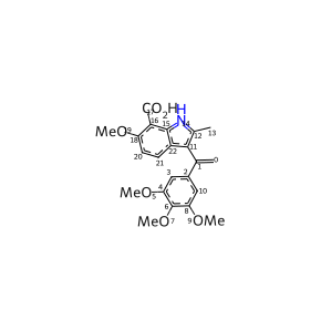 C=C(c1cc(OC)c(OC)c(OC)c1)c1c(C)[nH]c2c(C(=O)O)c(OC)ccc12